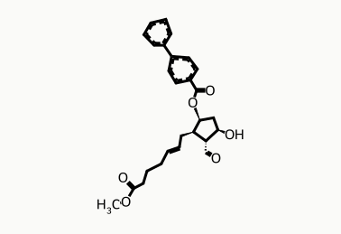 COC(=O)CCCC=CC[C@@H]1[C@@H](C=O)[C@H](O)C[C@@H]1OC(=O)c1ccc(-c2ccccc2)cc1